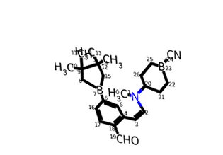 CN(/C=C\c1cc(B2CC(C)(C)C(C)(C)C2)ccc1C=O)C1CCB(C#N)CC1